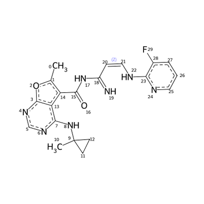 Cc1oc2ncnc(NC3(C)CC3)c2c1C(=O)NC(=N)/C=C\Nc1ncccc1F